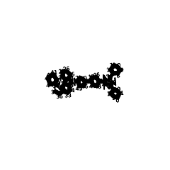 c1ccc(-c2nc(-c3ccccc3)nc(-c3ccc(-c4ccc(-n5c6ccccc6c6c7c(ccc65)ccn7-c5ccccc5)cc4)cc3)n2)cc1